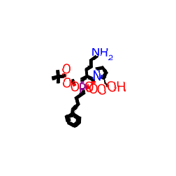 CC(C)(C)C(=O)OCOP(=O)(CCCCc1ccccc1)CC(CCCCN)C(=O)N1CCC[C@H]1C(=O)O